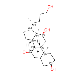 C[C@H](CCCO)[C@H]1CC[C@H]2[C@@H]3[C@H](O)CC4C[C@H](O)CC[C@]4(C)[C@H]3C[C@H](O)[C@]12C